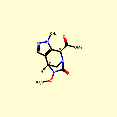 COC(=O)[C@@H]1c2c(cnn2C)[C@@H]2CN1C(=O)N2OS(=O)(=O)O